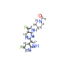 CC(=O)N1CCC(Cn2cc(F)c3cnc(-c4c[nH]c5ncc(F)cc45)nc32)CC1